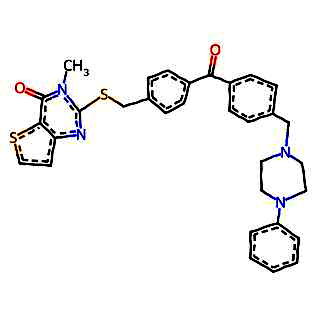 Cn1c(SCc2ccc(C(=O)c3ccc(CN4CCN(c5ccccc5)CC4)cc3)cc2)nc2ccsc2c1=O